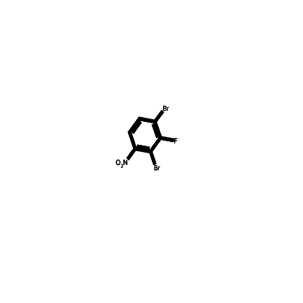 O=[N+]([O-])c1ccc(Br)c(F)c1Br